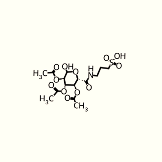 CC(=O)O[C@H]1[C@H](OC(C)=O)[C@@H](OC(C)=O)C(O)O[C@@H]1C(=O)NCCCS(=O)(=O)O